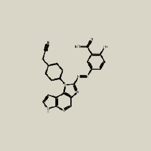 N#CCC1CCC(n2c(/N=N/c3ccc(O)c(C(=O)O)c3)nc3cnc4[nH]ccc4c32)CC1